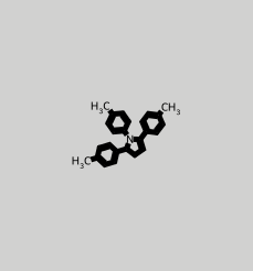 Cc1ccc(C2=CCC(c3ccc(C)cc3)N2c2ccc(C)cc2)cc1